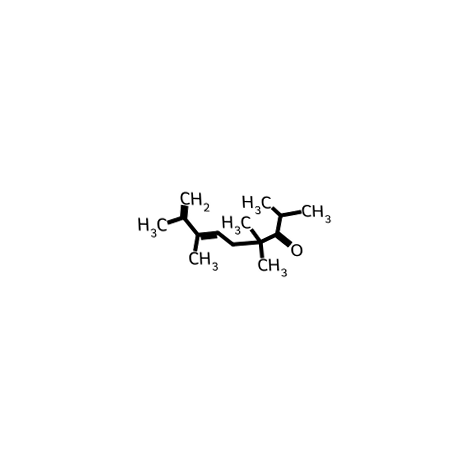 C=C(C)C(C)=CCC(C)(C)C(=O)C(C)C